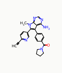 C#Cc1ccc(-c2c(-c3ccc(C(=O)N4CCCC4)cc3)c3c(N)ncnc3n2C)cn1